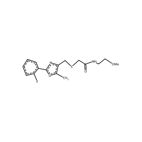 COCCNC(=O)CSCc1nc(-c2ccccc2F)oc1C